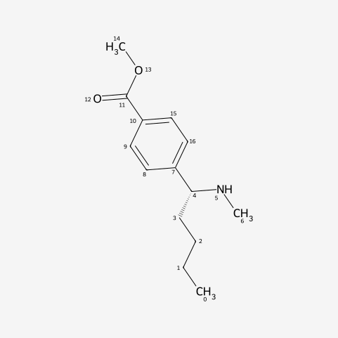 CCCC[C@@H](NC)c1ccc(C(=O)OC)cc1